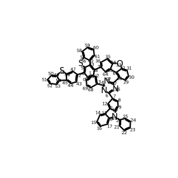 c1ccc(-c2nc(-c3ccc4c(c3)c3ccccc3n4-c3ccccc3)nc(-c3cccc4oc5ccc(-c6ccc(-c7ccc8c(c7)sc7ccccc78)c7sc8ccccc8c67)cc5c34)n2)cc1